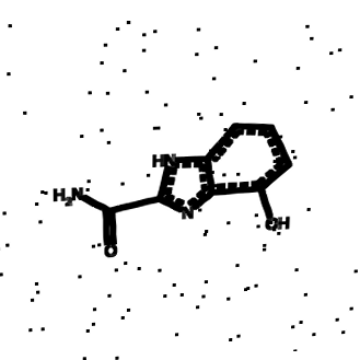 NC(=O)c1nc2c(O)cccc2[nH]1